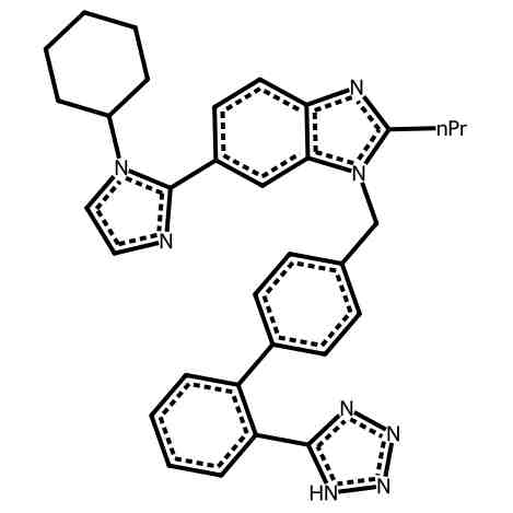 CCCc1nc2ccc(-c3nccn3C3CCCCC3)cc2n1Cc1ccc(-c2ccccc2-c2nnn[nH]2)cc1